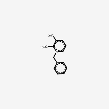 O=Cc1ccc[n+](Cc2ccccc2)c1C(=O)[O-]